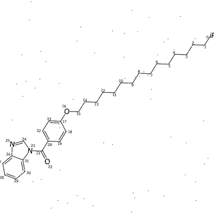 CC(C)CCCCCCCCCCCCCCCOc1ccc(C(=O)n2cnc3ccccc32)cc1